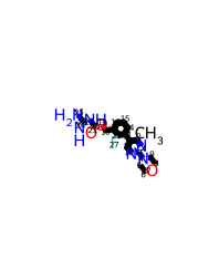 Cc1nc(N2CCOCC2)ncc1-c1cccc(COC(=O)NC(=N)N)c1F